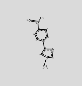 Cn1cnc(-c2ccc([N+](=O)[O-])cc2)c1